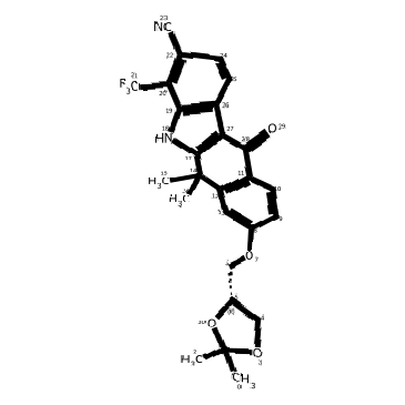 CC1(C)OC[C@@H](COc2ccc3c(c2)C(C)(C)c2[nH]c4c(C(F)(F)F)c(C#N)ccc4c2C3=O)O1